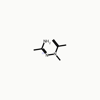 C=C(C)N(C)/N=C(/C)N